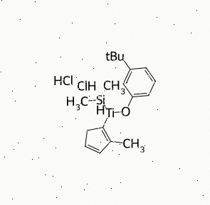 CC1=[C]([Ti]([O]c2cccc(C(C)(C)C)c2)[SiH](C)C)CC=C1.Cl.Cl